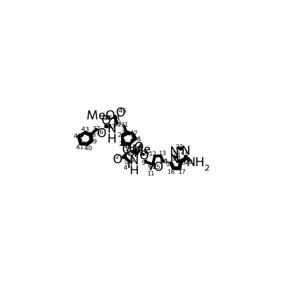 COC(=O)[C@H](C)NP(=O)(OC[C@]1(C)CC[C@H](c2ccc3c(N)ncnn23)O1)Oc1ccc(C[C@H](NC(=O)OCc2ccccc2)C(=O)OC)cc1